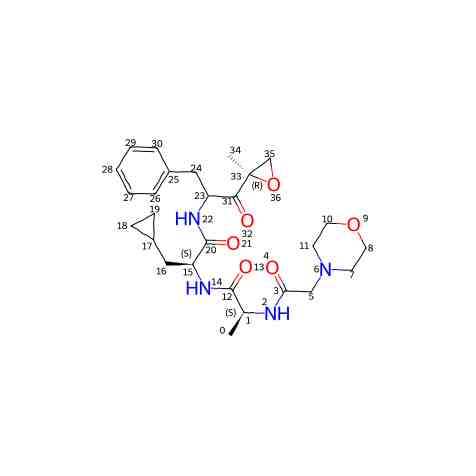 C[C@H](NC(=O)CN1CCOCC1)C(=O)N[C@@H](CC1CC1)C(=O)NC(Cc1ccccc1)C(=O)[C@@]1(C)CO1